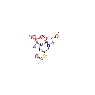 COCCN(CCSC(C)=O)C(=O)NC(C)C(=O)O